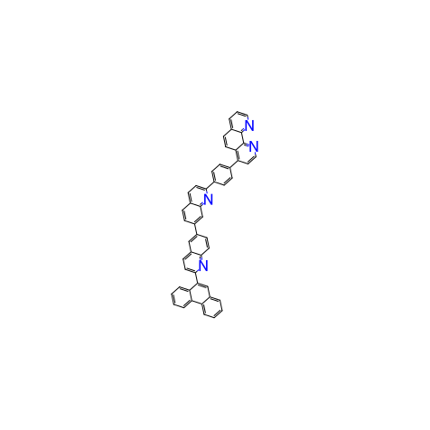 c1ccc2c(c1)cc(-c1ccc3cc(-c4ccc5ccc(-c6ccc(-c7ccnc8c7ccc7cccnc78)cc6)nc5c4)ccc3n1)c1ccccc12